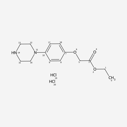 CCOC(=O)COc1ccc(N2CCNCC2)cc1.Cl.Cl